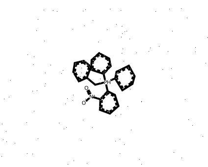 O=[N+]([O-])c1ccccc1[PH](Cc1ccccc1)(c1ccccc1)c1ccccc1